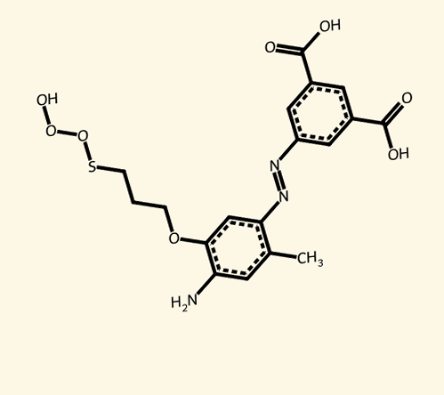 Cc1cc(N)c(OCCCSOOO)cc1N=Nc1cc(C(=O)O)cc(C(=O)O)c1